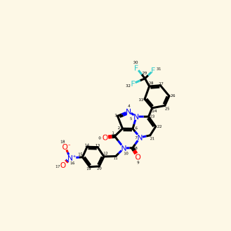 O=c1c2cnn3c2n(c(=O)n1Cc1ccc([N+](=O)[O-])cc1)CC=C3c1cccc(C(F)(F)F)c1